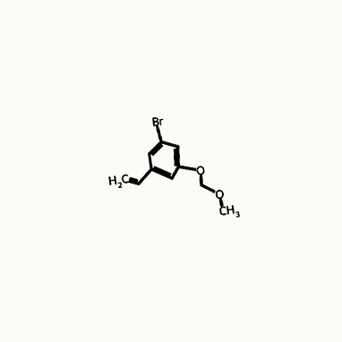 C=Cc1cc(Br)cc(OCOC)c1